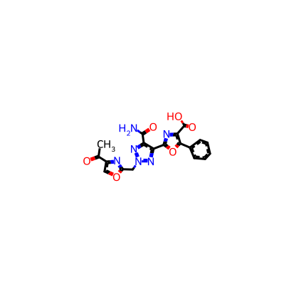 CC(=O)c1coc(Cn2nc(C(N)=O)c(-c3nc(C(=O)O)c(-c4ccccc4)o3)n2)n1